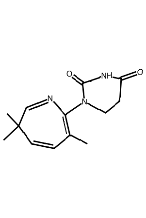 CC1=C(N2CCC(=O)NC2=O)N=CC(C)(C)C=C1